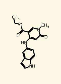 CCOC(=O)c1cn(C)c(=O)cc1Nc1ccc2[nH]ccc2c1